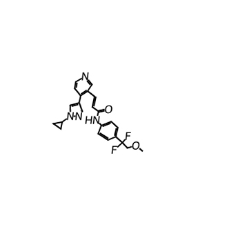 COCC(F)(F)c1ccc(NC(=O)C=Cc2cnccc2-c2cnn(C3CC3)c2)cc1